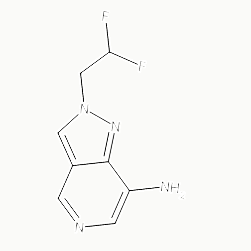 Nc1cncc2cn(CC(F)F)nc12